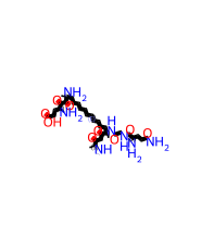 CN[C@@H](C)C(=O)CC(=O)[C@](C)(CCC/C=C/CCCCCC[C@@](C)(N)C(=O)C(=O)[C@@H](N)CCC(=O)O)NC(=O)CNC(=O)[C@@H](N)CCC(N)=O